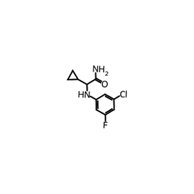 NC(=O)C(Nc1cc(F)cc(Cl)c1)C1CC1